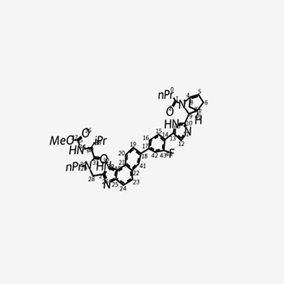 CCCC(=O)N1C2=CC[C@@H](C2)C1c1ncc(-c2ccc(-c3ccc4c(ccc5nc(CN(CCC)C(=O)[C@@H](NC(=O)OC)C(C)C)[nH]c54)c3)cc2F)[nH]1